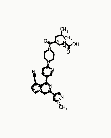 CC(C)C[C@@H](CNC(=O)O)C(=O)N1CCN(c2ccc(-c3nc(-c4cnn(C)c4)cn4ncc(C#N)c34)cn2)CC1